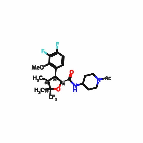 COc1c([C@H]2[C@H](C(=O)NC3CCN(C(C)=O)CC3)O[C@@](C)(C(F)(F)F)[C@H]2C)ccc(F)c1F